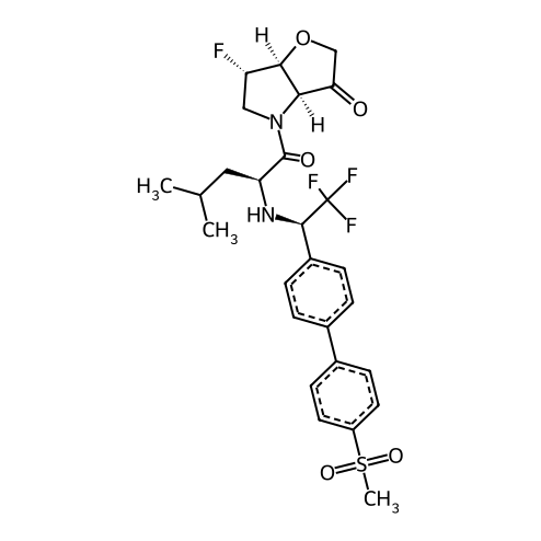 CC(C)C[C@H](N[C@H](c1ccc(-c2ccc(S(C)(=O)=O)cc2)cc1)C(F)(F)F)C(=O)N1C[C@H](F)[C@H]2OCC(=O)[C@H]21